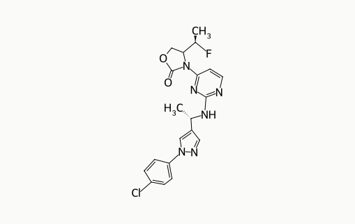 C[C@H](Nc1nccc(N2C(=O)OCC2[C@@H](C)F)n1)c1cnn(-c2ccc(Cl)cc2)c1